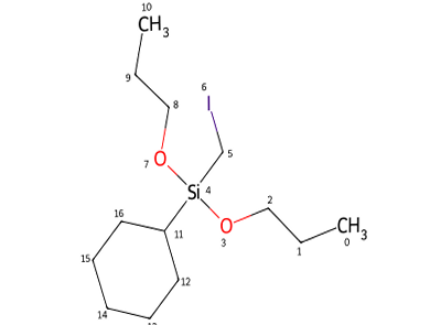 CCCO[Si](CI)(OCCC)C1CCCCC1